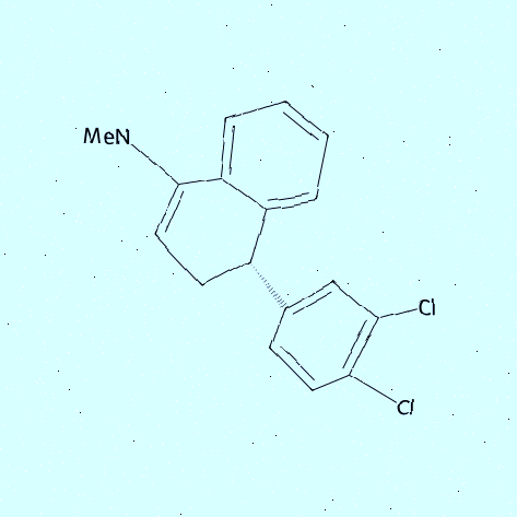 CNC1=CC[C@@H](c2ccc(Cl)c(Cl)c2)c2ccccc21